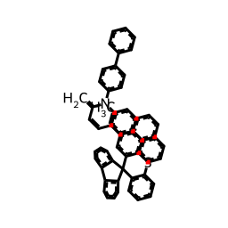 C=C(/C=C\C(=C/C)c1cc2c(c3ccccc13)Sc1ccccc1C21c2ccccc2-c2ccccc21)N(c1ccc(-c2ccccc2)cc1)c1ccc(-c2ccccc2)cc1